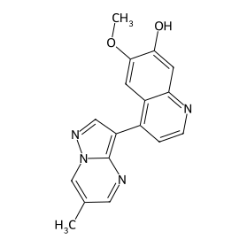 COc1cc2c(-c3cnn4cc(C)cnc34)ccnc2cc1O